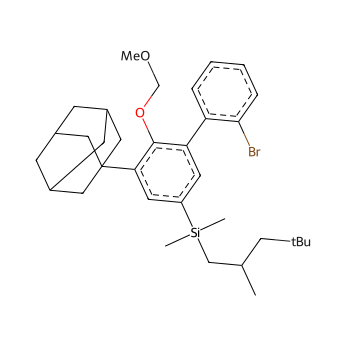 COCOc1c(-c2ccccc2Br)cc([Si](C)(C)CC(C)CC(C)(C)C)cc1C12CC3CC(CC(C3)C1)C2